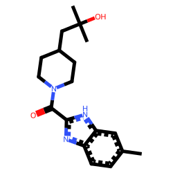 Cc1ccc2nc(C(=O)N3CCC(CC(C)(C)O)CC3)[nH]c2c1